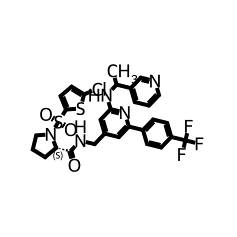 CC(Nc1cc(CNC(=O)[C@@H]2CCCN2S(=O)(=O)c2ccc(Cl)s2)cc(-c2ccc(C(F)(F)F)cc2)n1)c1cccnc1